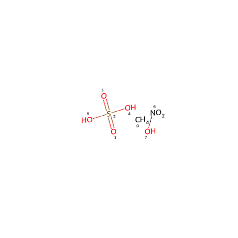 C.O=S(=O)(O)O.O=[N+]([O-])O